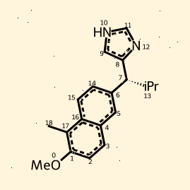 COc1ccc2cc([C@H](c3c[nH]cn3)C(C)C)ccc2c1C